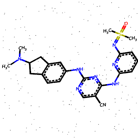 CN(C)C1Cc2ccc(Nc3ncc(C#N)c(Nc4cccc(N=S(C)(C)=O)n4)n3)cc2C1